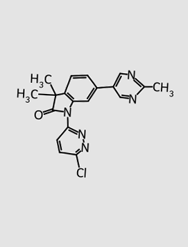 Cc1ncc(-c2ccc3c(c2)N(c2ccc(Cl)nn2)C(=O)C3(C)C)cn1